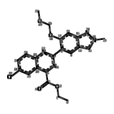 CCOC(=O)c1nc(-c2cc3cn(C)nc3cc2OCOC)nc2ccc(Cl)cc12